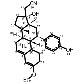 CCOC1=CC2=CC[C@@H]3[C@H]([C@@H](c4ccc(O)cc4)C[C@@]4(C)[C@H]3CC[C@@]4(O)CC#N)[C@H]2CC1